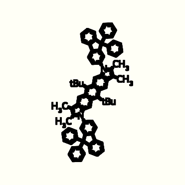 Cc1c(C)n(-c2ccc3c(c2)C(c2ccccc2)(c2ccccc2)c2ccccc2-3)c2cc3c(C(C)(C)C)c4cc5c(C)c(C)n(-c6ccc7c(c6)C(c6ccccc6)(c6ccccc6)c6ccccc6-7)c5cc4c(C(C)(C)C)c3cc12